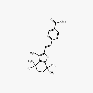 COC(=O)c1ccc(/C=C/c2sc3c(c2C)C(C)(C)CCC3(C)C)cc1